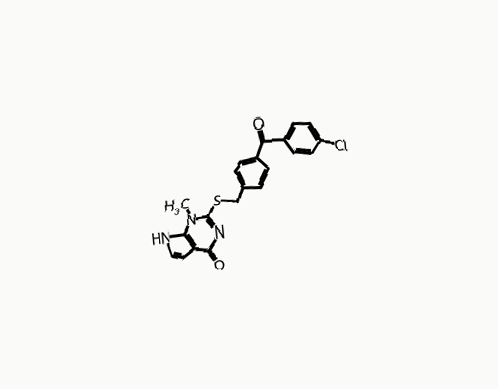 Cn1c(SCc2ccc(C(=O)c3ccc(Cl)cc3)cc2)nc(=O)c2cc[nH]c21